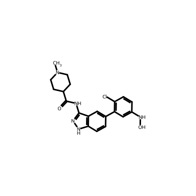 CN1CCC(C(=O)Nc2n[nH]c3ccc(-c4cc(NO)ccc4Cl)cc23)CC1